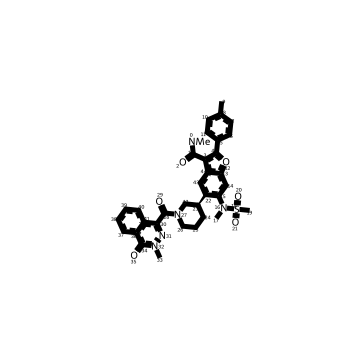 CNC(=O)c1c(-c2ccc(C)cc2)oc2cc(N(C)S(C)(=O)=O)c([C@H]3CCCN(C(=O)c4nn(C)c(=O)c5ccccc45)C3)cc12